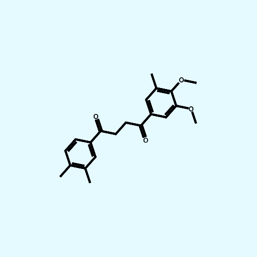 COc1cc(C(=O)CCC(=O)c2ccc(C)c(C)c2)cc(C)c1OC